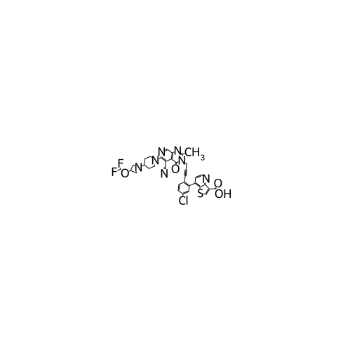 Cc1nc2cnc(N3CCC(N4CC(OC(F)F)C4)CC3)c(C#N)c2c(=O)n1CC#Cc1ccc(Cl)cc1-c1ccnc2c(C(=O)O)csc12